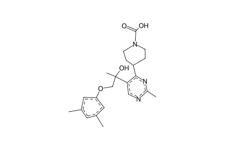 Cc1cc(C)cc(OCC(C)(O)c2cnc(C)nc2C2CCN(C(=O)O)CC2)c1